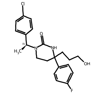 C[C@@H](c1ccc(Cl)cc1)N1CCC(CCCO)(c2ccc(F)cc2)NC1=O